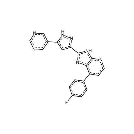 Fc1ccc(-c2ccnc3[nH]c(-c4cc(-c5cncnc5)[nH]n4)nc23)cc1